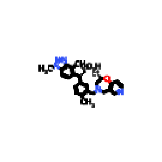 CC[C@@H]1CN(Cc2cc([C@@H](CC(=O)O)c3ccc4c(nnn4C)c3C)ccc2C)Cc2cnccc2O1